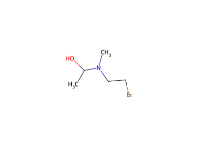 CC(O)N(C)CCBr